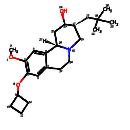 COc1cc2c(cc1OC1CCC1)CCN1C[C@@H](CC(C)(C)C)[C@H](O)C[C@H]21